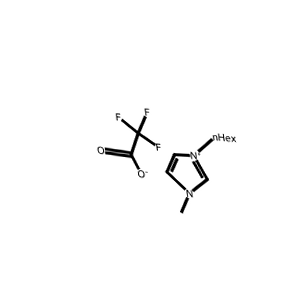 CCCCCC[n+]1ccn(C)c1.O=C([O-])C(F)(F)F